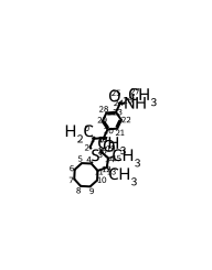 C=C(CSC1CCCCCCC1[C@H](C)[C@H](C)CC)C(=O)c1ccc(C(=O)NC)cc1